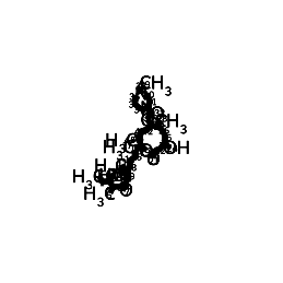 CCC(O)C(C)C1OC1CC(C)(O)C=C/C=C(\C)C1OC(=O)CC(O)CCC(C)C(OC(=O)N2CCCN(CC)CC2)/C=C/C1C